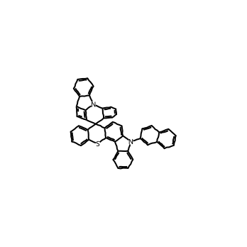 c1ccc2c(c1)Sc1c(ccc3c1c1ccccc1n3-c1ccc3ccccc3c1)C21c2ccccc2-n2c3ccccc3c3cccc1c32